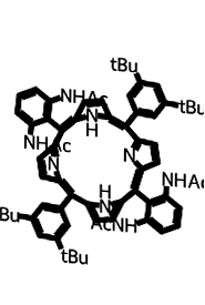 CC(=O)Nc1cccc(NC(C)=O)c1-c1c2nc(c(-c3cc(C(C)(C)C)cc(C(C)(C)C)c3)c3ccc([nH]3)c(-c3c(NC(C)=O)cccc3NC(C)=O)c3nc(c(-c4cc(C(C)(C)C)cc(C(C)(C)C)c4)c4ccc1[nH]4)C=C3)C=C2